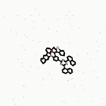 c1ccc2cc3c(cc2c1)c1ccccc1n3-c1ccc(-c2nc(-c3cccc4ccccc34)nc(-c3cccc4ccccc34)n2)cc1-c1cccc2oc3ccccc3c12